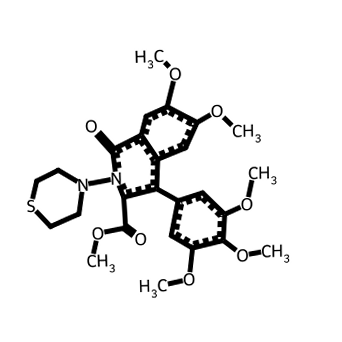 COC(=O)c1c(-c2cc(OC)c(OC)c(OC)c2)c2cc(OC)c(OC)cc2c(=O)n1N1CCSCC1